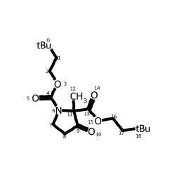 CC(C)(C)CCOC(=O)N1CCC(=O)C1(C)C(=O)OCCC(C)(C)C